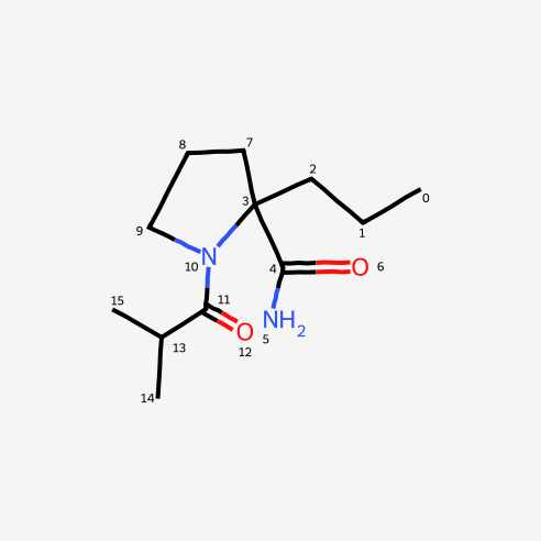 CCCC1(C(N)=O)CCCN1C(=O)C(C)C